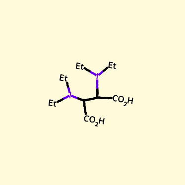 CCI(CC)C(C(=O)O)C(C(=O)O)I(CC)CC